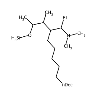 CCCCCCCCCCCCCCCC(C(C)C(C)O[SiH3])C(CC)N(C)C